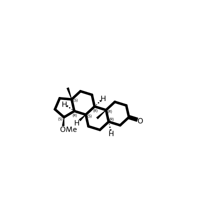 CO[C@H]1CC[C@]2(C)CC[C@@H]3[C@H](CC[C@@H]4CC(=O)CC[C@]43C)[C@@H]12